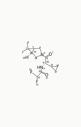 CC1(C)C2CN(C(=O)[C@@H](NC(=O)C(F)F)C3CC3)C[C@H]21